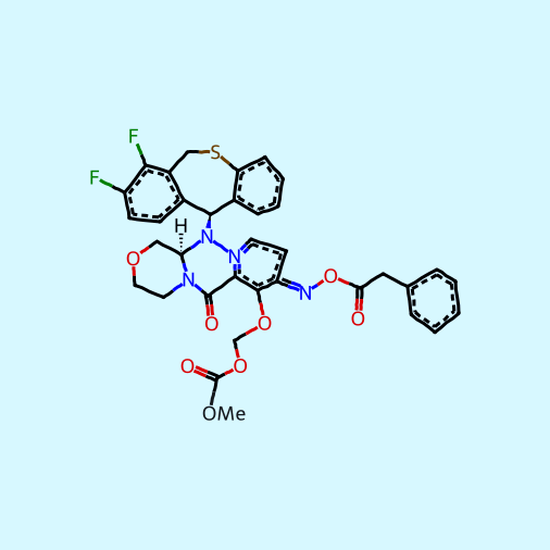 COC(=O)OCOc1c2n(cc/c1=N\OC(=O)Cc1ccccc1)N([C@@H]1c3ccccc3SCc3c1ccc(F)c3F)[C@@H]1COCCN1C2=O